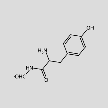 NC(Cc1ccc(O)cc1)C(=O)N[C]=O